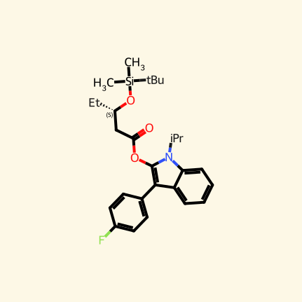 CC[C@@H](CC(=O)Oc1c(-c2ccc(F)cc2)c2ccccc2n1C(C)C)O[Si](C)(C)C(C)(C)C